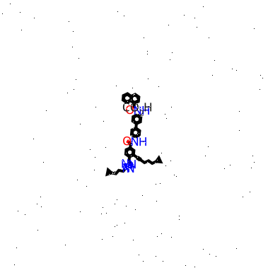 O=C(Nc1ccc(-c2ccc(NC(=O)c3cccc4cccc(C(=O)O)c34)cc2)cc1)c1ccc(-c2nnn(CCCC3CC3)n2)c(C#CCCCC2CC2)c1